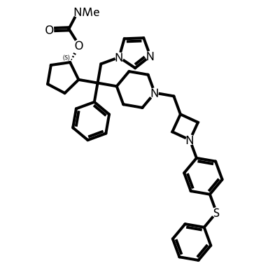 CNC(=O)O[C@H]1CCCC1C(Cn1ccnc1)(c1ccccc1)C1CCN(CC2CN(c3ccc(Sc4ccccc4)cc3)C2)CC1